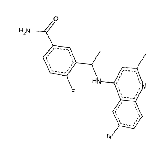 Cc1cc(NC(C)c2cc(C(N)=O)ccc2F)c2cc(Br)ccc2n1